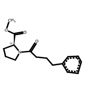 COC(=O)[C@@H]1CCCN1C(=O)CCCc1ccccc1